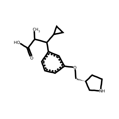 CC(C(=O)O)C(c1cccc(OC[C@@H]2CCNC2)c1)C1CC1